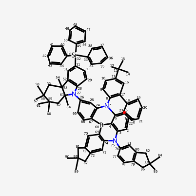 Cc1cc2c3c(c1)N(c1ccc(C(C)(C)C)cc1-c1ccccc1)c1cc(N4c5ccc([Si](c6ccccc6)(c6ccccc6)c6ccccc6)cc5C5(C)CC(C)(C)C(C)(C)CC45C)ccc1B3c1cc3c(cc1N2c1ccc2c(c1)CC(C)(C)C2)CC(C)(C)C3